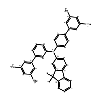 CC(C)(C)c1cc(-c2ccc(N(c3cccc(-c4cc(C(C)(C)C)cc(C(C)(C)C)c4)c3)c3ccc4c(c3)C(C)(C)c3ccccc3-4)cc2)cc(C(C)(C)C)c1